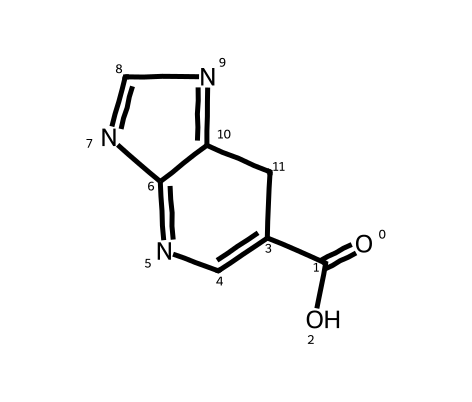 O=C(O)C1=CN=C2N=CN=C2C1